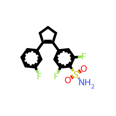 NS(=O)(=O)c1c(F)cc(C2=C(c3cccc(F)c3)CCC2)cc1F